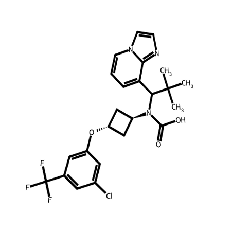 CC(C)(C)C(c1cccn2ccnc12)N(C(=O)O)[C@H]1C[C@H](Oc2cc(Cl)cc(C(F)(F)F)c2)C1